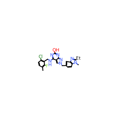 CCc1nc2cc(Cn3cc4c(NCc5c(Cl)ccc(C)c5F)nc(O)nc4n3)ccc2n1C